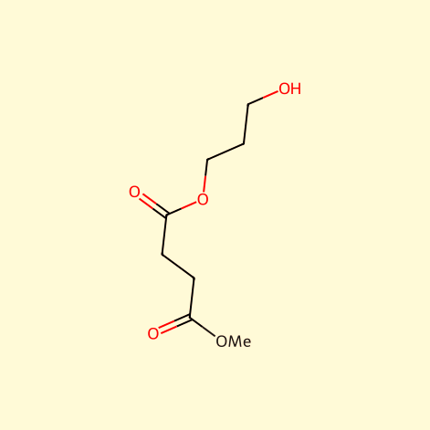 COC(=O)CCC(=O)OCCCO